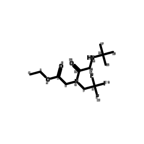 CCOC(=O)CN(CC(F)(F)F)C(=O)CNC(C)(C)C